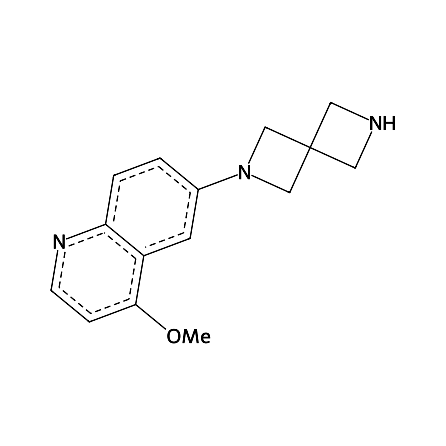 COc1ccnc2ccc(N3CC4(CNC4)C3)cc12